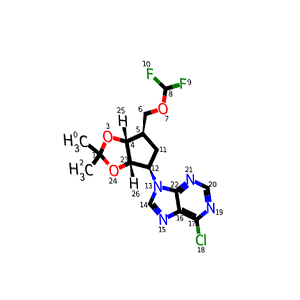 CC1(C)O[C@@H]2[C@@H](COC(F)F)C[C@@H](n3cnc4c(Cl)ncnc43)[C@@H]2O1